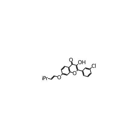 CC(C)C=COc1ccc2c(=O)c(O)c(-c3cccc(Cl)c3)oc2c1